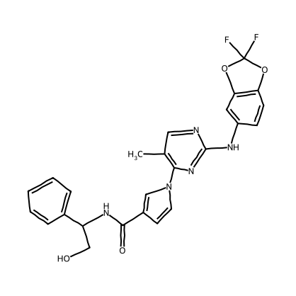 Cc1cnc(Nc2ccc3c(c2)OC(F)(F)O3)nc1-n1ccc(C(=O)NC(CO)c2ccccc2)c1